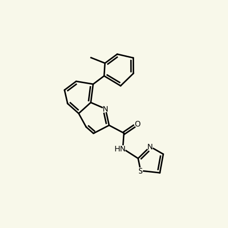 Cc1ccccc1-c1cccc2ccc(C(=O)Nc3nccs3)nc12